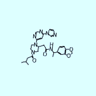 CC(C)CC(=O)N1CCN(c2cc(-n3ccnc3)ncn2)C(CC(=O)NC(C)c2ccc3c(c2)OCO3)C1